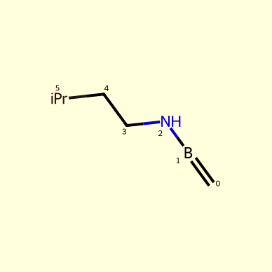 C=BNCCC(C)C